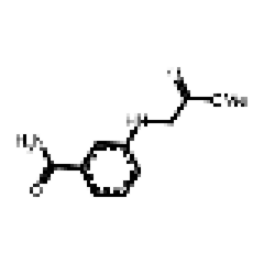 COC(=O)CNc1cccc(C(N)=O)c1